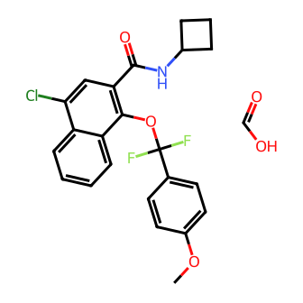 COc1ccc(C(F)(F)Oc2c(C(=O)NC3CCC3)cc(Cl)c3ccccc23)cc1.O=CO